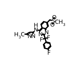 CC1C2C(Nc3nc(C(F)(F)c4ccc(F)cc4)nc4cc(CS(C)(=O)=O)ccc34)=NN12